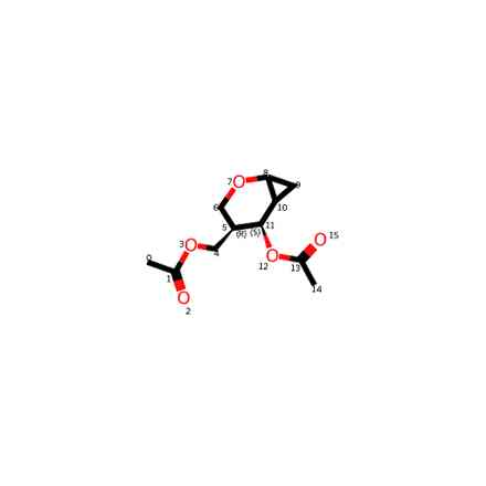 CC(=O)OC[C@H]1COC2CC2[C@H]1OC(C)=O